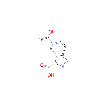 O=C(O)c1nnc2ccn(C(=O)O)cc1-2